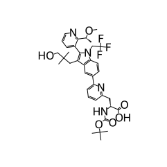 CO[C@@H](C)c1ncccc1-c1c(CC(C)(C)CO)c2cc(-c3cccc(C[C@H](NC(=O)OC(C)(C)C)C(=O)O)n3)ccc2n1CC(F)(F)F